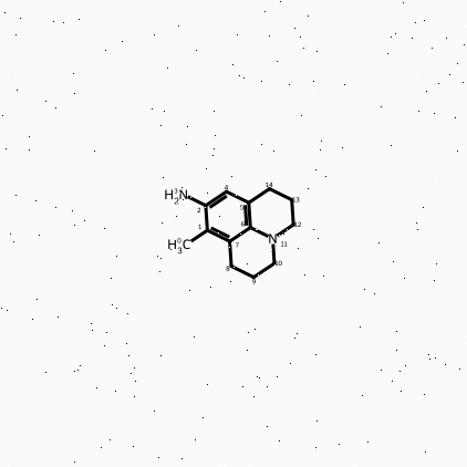 Cc1c(N)cc2c3c1CCCN3CCC2